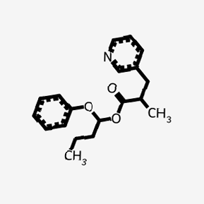 CCCC(OC(=O)C(C)Cc1cccnc1)Oc1ccccc1